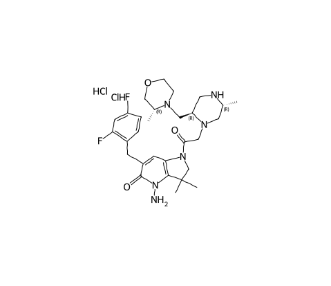 C[C@@H]1CN(CC(=O)N2CC(C)(C)c3c2cc(Cc2ccc(F)cc2F)c(=O)n3N)[C@@H](CN2CCOC[C@H]2C)CN1.Cl.Cl